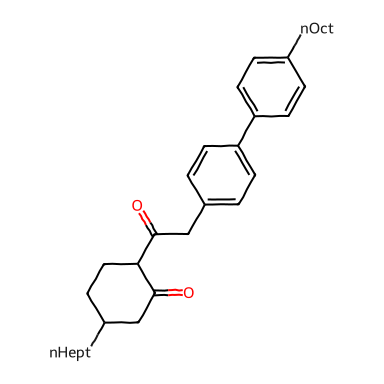 CCCCCCCCc1ccc(-c2ccc(CC(=O)C3CCC(CCCCCCC)CC3=O)cc2)cc1